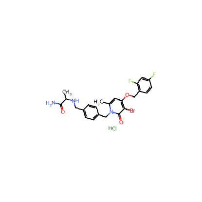 Cc1cc(OCc2ccc(F)cc2F)c(Br)c(=O)n1Cc1ccc(CNC(C)C(N)=O)cc1.Cl